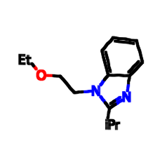 CCOCCn1c(C(C)C)nc2ccccc21